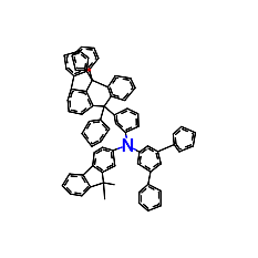 CC1(C)c2ccccc2-c2ccc(N(c3cc(-c4ccccc4)cc(-c4ccccc4)c3)c3cccc(C4(c5ccccc5)c5ccccc5C5(c6ccccc6)c6ccccc6-c6cccc4c65)c3)cc21